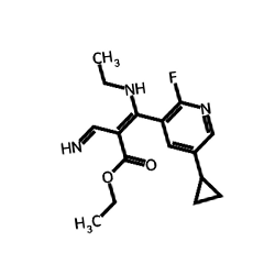 CCN/C(=C(\C=N)C(=O)OCC)c1cc(C2CC2)cnc1F